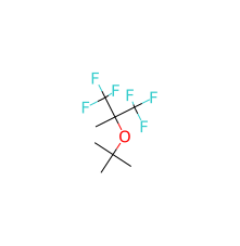 CC(C)(C)OC(C)(C(F)(F)F)C(F)(F)F